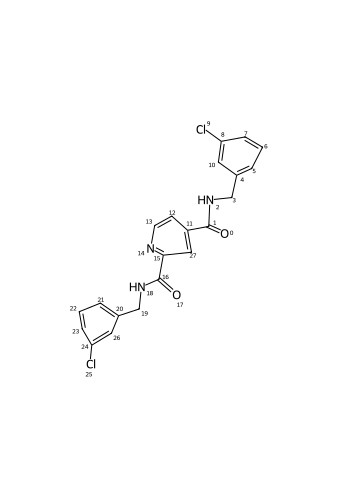 O=C(NCc1cccc(Cl)c1)c1ccnc(C(=O)NCc2cccc(Cl)c2)c1